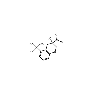 CC1(C(=O)O)COc2cccc(C(C)(C)C)c2C1